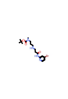 CN(CCCNCCC(=O)Nc1cc(Br)ccn1)C(=O)OC(C)(C)C